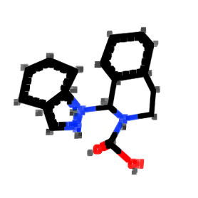 O=C(O)N1CCc2ccccc2C1n1ncc2ccccc21